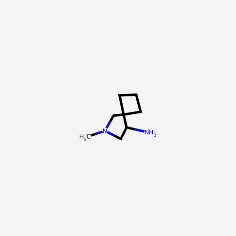 CN1CC(N)C2(CCC2)C1